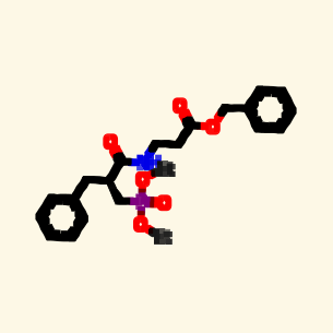 CCOP(=O)(C[C@@H](Cc1ccccc1)C(=O)NCCC(=O)OCc1ccccc1)OCC